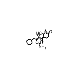 CN1C(=O)CCC(NC(=O)[C@H](CC2CCCCC2)OC(N)=O)C1O